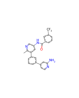 Cc1ncc(NC(=O)c2cccc(C(F)(F)F)c2)cc1-c1cccc(-c2ccnc(N)c2)c1